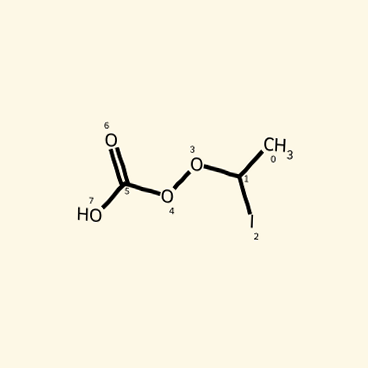 CC(I)OOC(=O)O